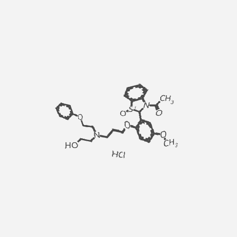 COc1ccc(OCCCN(CCO)CCOc2ccccc2)c(C2N(C(C)=O)c3ccccc3[S+]2[O-])c1.Cl